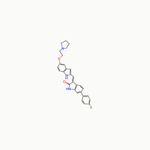 O=C1Nc2cc(-c3ccc(F)cc3)ccc2C1=Cc1cc2cc(OCCN3CCCC3)ccc2[nH]1